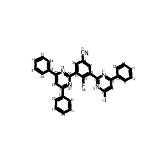 N#Cc1cc(-c2nc(I)cc(-c3ccccc3)n2)c(F)c(-c2nc(-c3ccccc3)cc(-c3ccccc3)n2)c1